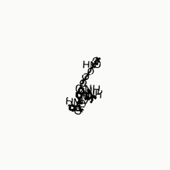 CCC1(CC)CC(=O)N([C@@H]2C[C@H](COCCOCCOCCNC(=O)OC(C)(C)C)Oc3ccc(C(=O)N[C@H]4CC(C)(C)Oc5ccccc54)cc32)C(=N)N1